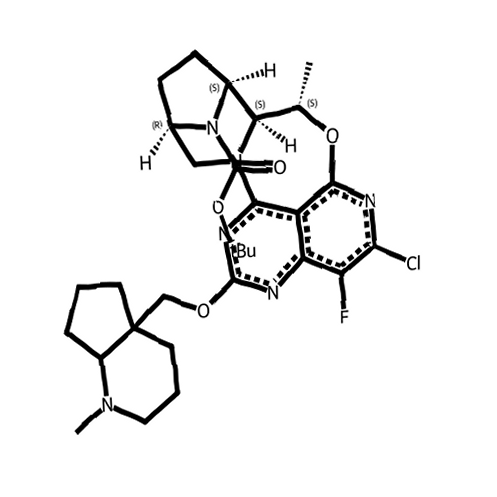 C[C@@H]1Oc2nc(Cl)c(F)c3nc(OCC45CCCC4N(C)CCC5)nc(c23)N2C[C@H]3CC[C@@H]([C@@H]12)N3C(=O)OC(C)(C)C